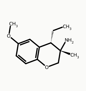 CC[C@H]1c2cc(OC)ccc2OC[C@@]1(C)N